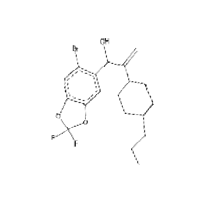 C=C(C1CCC(CCC)CC1)C(O)c1cc2c(cc1Br)OC(F)(F)O2